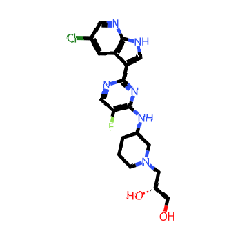 OC[C@H](O)CN1CCCC(Nc2nc(-c3c[nH]c4ncc(Cl)cc34)ncc2F)C1